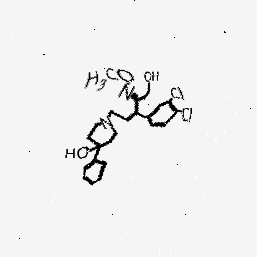 CON=C(CO)C(CCN1CCC(O)(c2ccccc2)CC1)c1ccc(Cl)c(Cl)c1